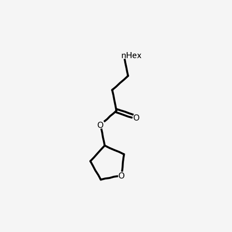 CCCCCCCCC(=O)OC1CCOC1